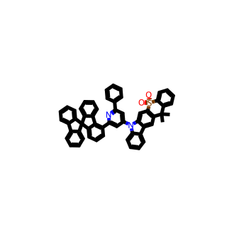 CC1(C)c2ccccc2S(=O)(=O)c2cc3c(cc21)c1ccccc1n3-c1cc(-c2ccccc2)nc(-c2cccc3c2-c2ccccc2C32c3ccccc3-c3ccccc32)c1